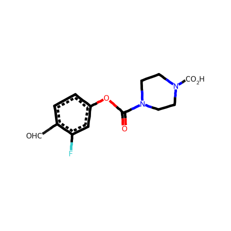 O=Cc1ccc(OC(=O)N2CCN(C(=O)O)CC2)cc1F